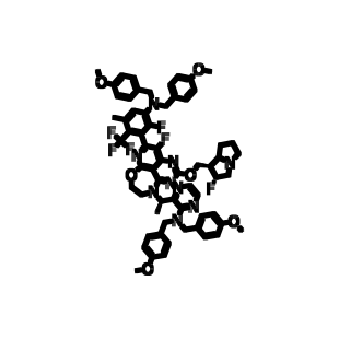 COc1ccc(CN(Cc2ccc(OC)cc2)c2cc(C)c(C(F)(F)F)c(-c3nc4c5c(nc(OC[C@H]6C7CCCN7C[C@@H]6F)nc5c3F)N([C@H](C)c3nccnc3N(Cc3ccc(OC)cc3)Cc3ccc(OC)cc3)CCO4)c2F)cc1